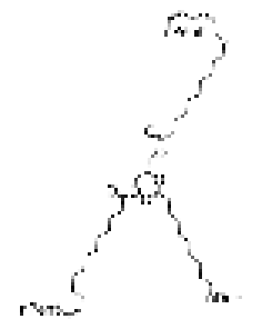 CCCCC/C=C\C/C=C\C/C=C\CCCCCCCCC(=O)OC[C@@H](COC(=O)CCCCCCC/C=C\C/C=C\CCCCC)OC(=O)CCCCCCCCCCCCCCCCCCC